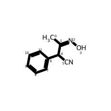 C/C(=N/O)C(C#N)c1ccccc1